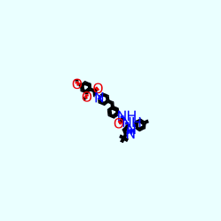 COc1ccc(C(=O)CN2CCC(Cc3cccc(NC(=O)Nc4cc(C(C)(C)C)nn4-c4ccc(C)cc4)c3)CC2)c(OC)c1